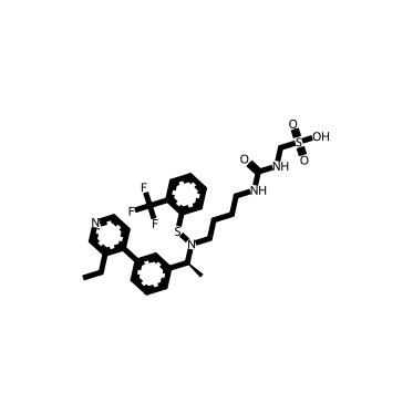 CCc1cnccc1-c1cccc([C@H](C)N(CCCCNC(=O)NCS(=O)(=O)O)Sc2ccccc2C(F)(F)F)c1